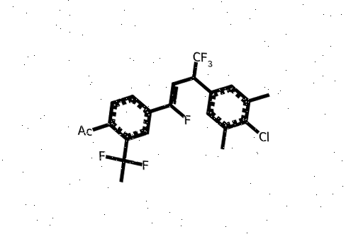 CC(=O)c1ccc(/C(F)=C/C(c2cc(C)c(Cl)c(C)c2)C(F)(F)F)cc1C(C)(F)F